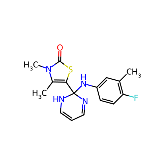 Cc1cc(NC2(c3sc(=O)n(C)c3C)N=CC=CN2)ccc1F